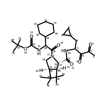 CC(=O)C(=O)C(CC1CC1)NC(=O)[C@@H]1[C@@H]2[C@H](CN1C(=O)C(NC(=O)OC(C)(C)C)C1CCCCC1)C(C)(C)C2(C)C